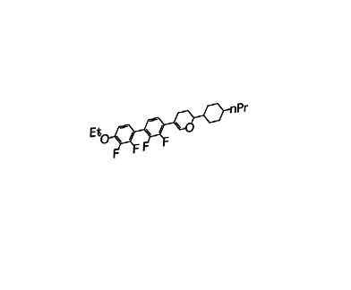 CCCC1CCC(C2CCC(c3ccc(-c4ccc(OCC)c(F)c4F)c(F)c3F)=CO2)CC1